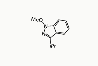 COn1nc(C(C)C)c2ccccc21